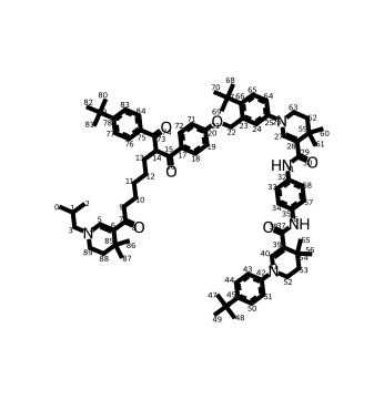 CC(C)CN1C=C(C(=O)CCCCCC(C(=O)c2ccc(OCc3cc(N4C=C(C(=O)Nc5ccc(NC(=O)C6=CN(c7ccc(C(C)(C)C)cc7)CCC6(C)C)cc5)C(C)(C)CC4)ccc3C(C)(C)C)cc2)C(=O)c2ccc(C(C)(C)C)cc2)C(C)(C)CC1